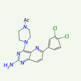 CC(=O)N1CCN(c2nc(N)nc3ccc(-c4ccc(Cl)c(Cl)c4)nc23)CC1